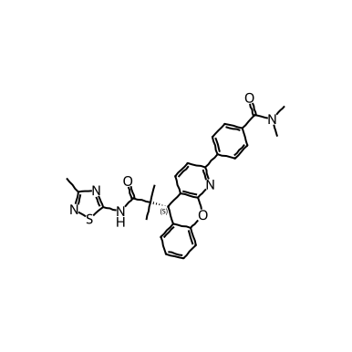 Cc1nsc(NC(=O)C(C)(C)[C@H]2c3ccccc3Oc3nc(-c4ccc(C(=O)N(C)C)cc4)ccc32)n1